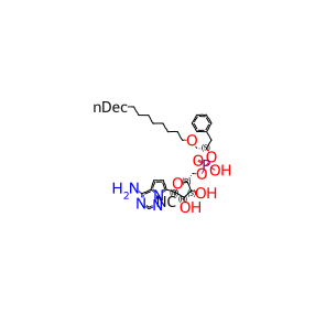 CCCCCCCCCCCCCCCCCCOC[C@H](Cc1ccccc1)OP(=O)(O)OC[C@H]1O[C@@](C#N)(c2ccc3c(N)ncnn23)[C@H](O)[C@@H]1O